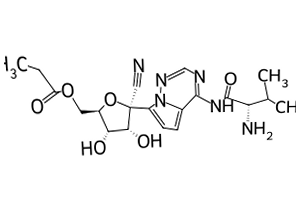 CCC(=O)OC[C@H]1O[C@@](C#N)(c2ccc3c(NC(=O)[C@@H](N)C(C)C)ncnn23)[C@H](O)[C@@H]1O